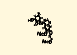 COCCOc1cc2ncnc(Nc3cc(F)cc(O)c3C)c2cc1OC